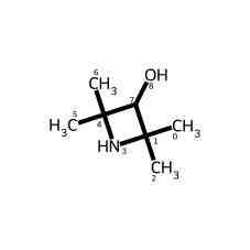 CC1(C)NC(C)(C)C1O